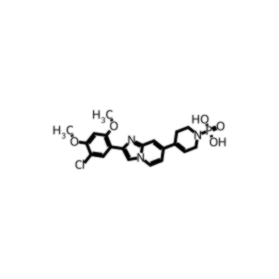 COc1cc(OC)c(-c2cn3ccc(C4=CCN(P(=O)(O)O)CC4)cc3n2)cc1Cl